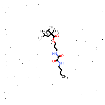 CCCCNC(=O)C(=O)NCCCOC(=O)C(C)(CC(C)C)C(C)C